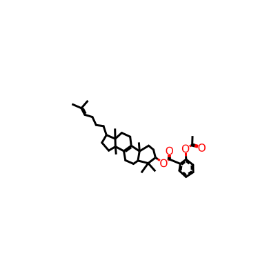 CC(=O)Oc1ccccc1C(=O)OC1CCC2(C)C3=C(CCC2C1(C)C)C1(C)CCC(CCCC=C(C)C)C1(C)CC3